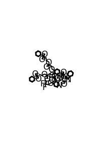 CS(=O)(=O)c1c(OCC(F)(F)F)ccnc1C[S+]([O-])c1nc2ccccc2n1S(=O)(=O)c1ccc(OCC(=O)OCCS(=O)(=O)c2ccccc2)c(OCC(=O)OCCS(=O)(=O)c2ccccc2)c1